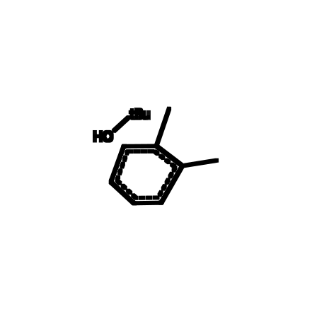 CC(C)(C)O.Cc1ccccc1C